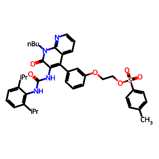 CCCCn1c(=O)c(NC(=O)Nc2c(C(C)C)cccc2C(C)C)c(-c2cccc(OCCOS(=O)(=O)c3ccc(C)cc3)c2)c2cccnc21